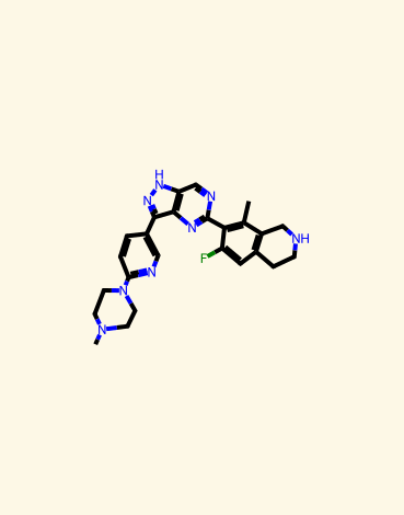 Cc1c2c(cc(F)c1-c1ncc3[nH]nc(-c4ccc(N5CCN(C)CC5)nc4)c3n1)CCNC2